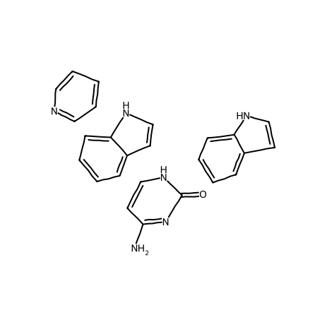 Nc1cc[nH]c(=O)n1.c1ccc2[nH]ccc2c1.c1ccc2[nH]ccc2c1.c1ccncc1